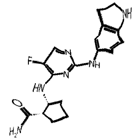 NC(=O)[C@H]1CCC[C@H]1Nc1nc(Nc2ccc3c(c2)CCN3)ncc1F